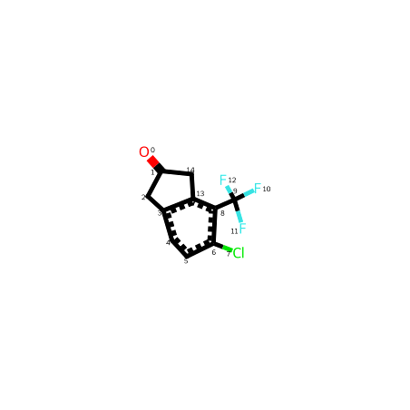 O=C1Cc2ccc(Cl)c(C(F)(F)F)c2C1